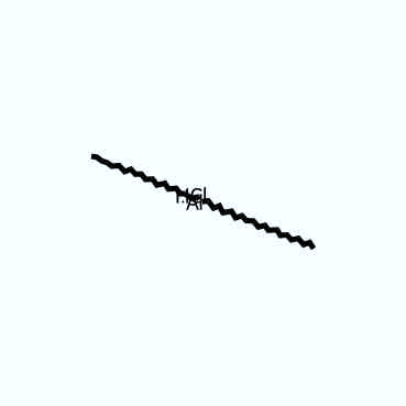 CCCCCCCCCCCCCCCCCCC[CH2][Al][CH2]CCCCCCCCCCCCCCCCCCC.Cl